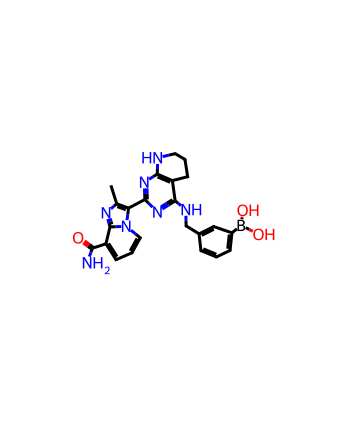 Cc1nc2c(C(N)=O)cccn2c1-c1nc2c(c(NCc3cccc(B(O)O)c3)n1)CCCN2